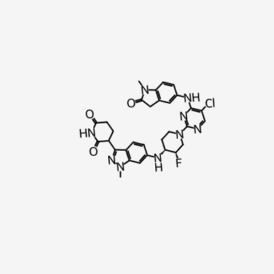 CN1C(=O)Cc2cc(Nc3nc(N4CC[C@H](Nc5ccc6c(C7CCC(=O)NC7=O)nn(C)c6c5)[C@H](F)C4)ncc3Cl)ccc21